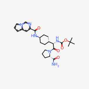 CC(C)(C)OC(=O)N[C@H](C(=O)N1CCC[C@H]1C(N)=O)[C@H]1CC[C@H](NC(=O)c2cc3cccn3cn2)CC1